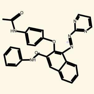 CC(=O)Nc1ccc(Oc2c(C(=O)Nc3ccccc3)cc3ccccc3c2/N=N/c2ncccn2)cc1